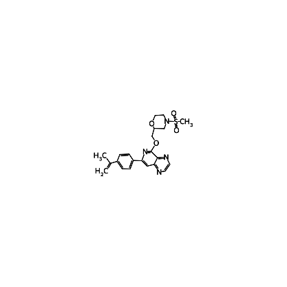 C=C(C)c1ccc(-c2cc3nccnc3c(OCC3CN(S(C)(=O)=O)CCO3)n2)cc1